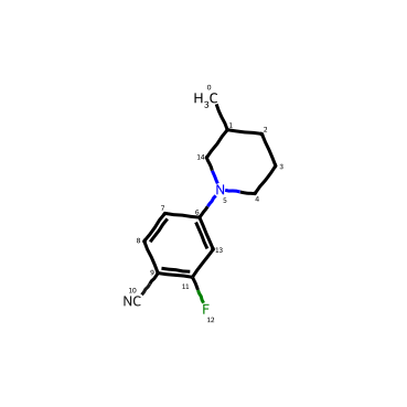 CC1CCCN(c2ccc(C#N)c(F)c2)C1